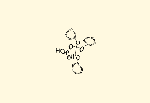 OP(O)OC(COc1ccccc1)(Oc1ccccc1)Oc1ccccc1